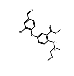 COC[C@H](C)Nc1ccc(Oc2ccc(C=O)cc2Br)cc1C(=O)OC